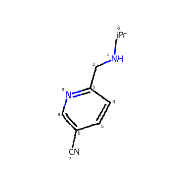 CC(C)NCc1ccc(C#N)cn1